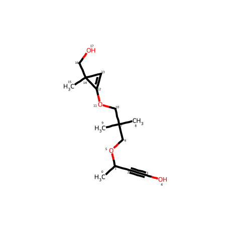 CC(C#CO)OCC(C)(C)COC1=CC1(C)CO